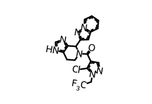 O=C(c1cnn(CC(F)(F)F)c1Cl)N1CCc2[nH]cnc2C1c1cc2ccccn2n1